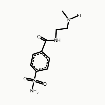 CCN(C)CCNC(=O)c1ccc(S(N)(=O)=O)cc1